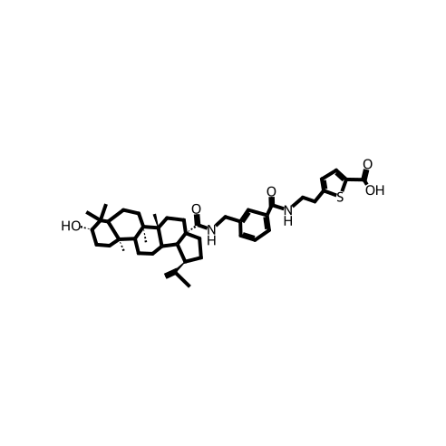 C=C(C)[C@@H]1CC[C@]2(C(=O)NCc3cccc(C(=O)NCCc4ccc(C(=O)O)s4)c3)CC[C@]3(C)C(CCC4[C@@]5(C)CC[C@H](O)C(C)(C)C5CC[C@]43C)C12